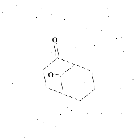 O=C1CCC2CCCC1C2=O